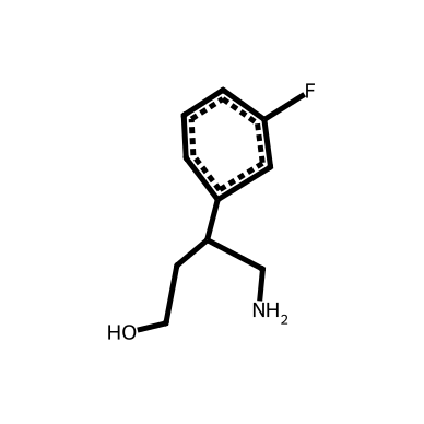 NCC(CCO)c1cccc(F)c1